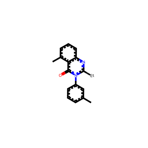 CCc1nc2cccc(C)c2c(=O)n1-c1cccc(C)c1